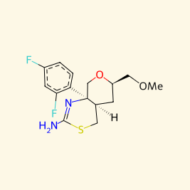 COC[C@H]1C[C@H]2CSC(N)=N[C@@]2(c2ccc(F)cc2F)CO1